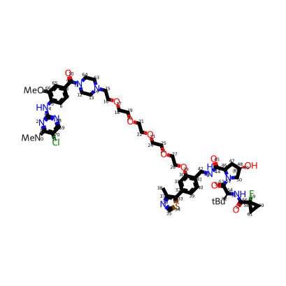 CNc1nc(Nc2ccc(C(=O)N3CCN(CCOCCOCCOCCOCCOc4cc(-c5scnc5C)ccc4CNC(=O)C4C[C@@H](O)CN4C(=O)[C@@H](NC(=O)C4(F)CC4)C(C)(C)C)CC3)cc2OC)ncc1Cl